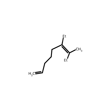 C=CCCCC(CC)=C(C)CC